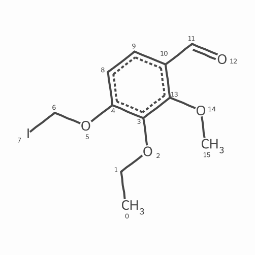 CCOc1c(OCI)ccc(C=O)c1OC